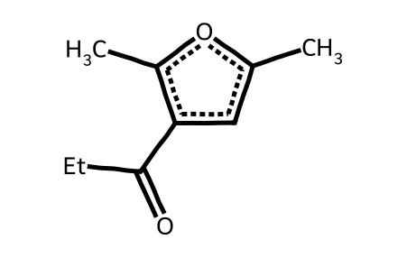 CCC(=O)c1cc(C)oc1C